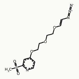 CS(=O)(=O)c1cc(OCCOCCOC=CN=[N+]=[N-])ccn1